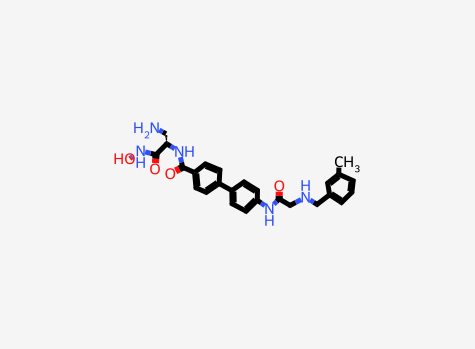 Cc1cccc(CNCC(=O)Nc2ccc(-c3ccc(C(=O)N[C@@H](CN)C(=O)NO)cc3)cc2)c1